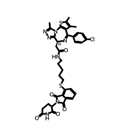 Cc1sc2c(c1C)C(c1ccc(Cl)cc1)=N[C@@H](CC(=O)NCCCCCSc1cccc3c1C(=O)N(C1CCC(=O)NC1=O)C3=O)c1nnc(C)n1-2